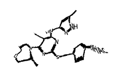 CC(=O)Nc1ccc(Sc2nc(Nc3cc(C)[nH]n3)c(C)c(N3CCOC[C@@H]3C)n2)cc1